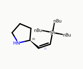 CCC[CH2][Sn](/[CH]=C\[C@@H]1CCCN1)([CH2]CCC)[CH2]CCC